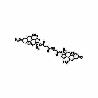 C=C1C=C2C[C@@H](C)C3C(CC[C@@]4(C)C3CC[C@@H]4OC(=O)CCC(=O)NCCC(=O)O[C@H]3CCC4C5C(CC[C@@]43C)[C@@]3(C)CCC(=O)C=C3C[C@H]5C)[C@@]2(C)CC1